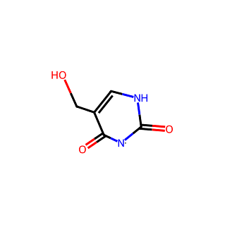 O=C1[N]C(=O)C(CO)=CN1